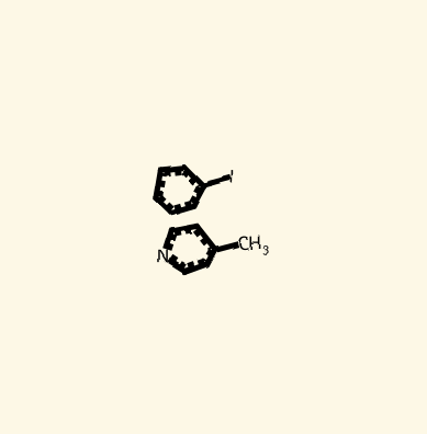 Cc1ccncc1.Ic1ccccc1